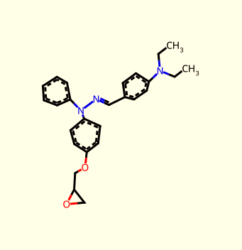 CCN(CC)c1ccc(C=NN(c2ccccc2)c2ccc(OCC3CO3)cc2)cc1